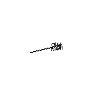 CCCCCCCCCCCCCCCCC(O)[C@@H](O)[C@@H](O)[C@H](O)[C@@H](O)C=O